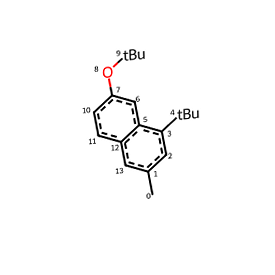 Cc1cc(C(C)(C)C)c2cc(OC(C)(C)C)ccc2c1